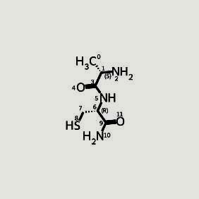 C[C@H](N)C(=O)N[C@@H](CS)C(N)=O